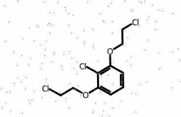 ClCCOc1cccc(OCCCl)c1Cl